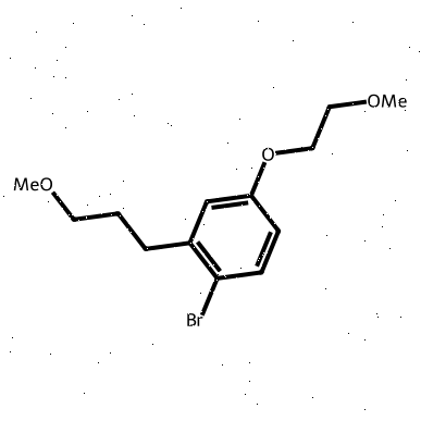 COCCCc1cc(OCCOC)ccc1Br